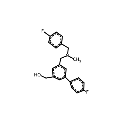 CN(Cc1ccc(F)cc1)Cc1cc(CO)cc(-c2ccc(F)cc2)c1